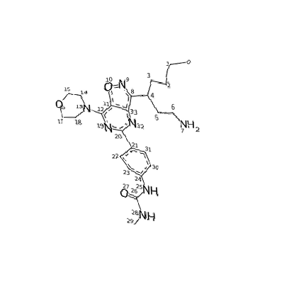 CCCCC(CCN)c1noc2c(N3CCOCC3)nc(-c3ccc(NC(=O)NC)cc3)nc12